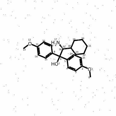 COc1ccc(C(O)(c2ccc(OC)cc2)[C@@H](N)C2CCCCC2)cc1